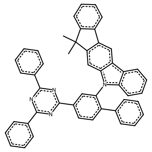 CC1(C)c2ccccc2-c2cc3c4ccccc4n(-c4cc(-c5nc(-c6ccccc6)nc(-c6ccccc6)n5)ccc4-c4ccccc4)c3cc21